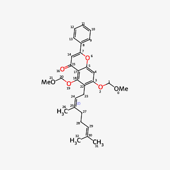 COCOc1cc2oc(-c3ccccc3)cc(=O)c2c(OCOC)c1C/C=C(/C)CCC=C(C)C